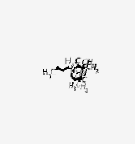 CCCCN1CCC(C)(C)NC(C)(C)C1C